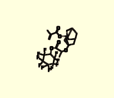 C=C(C)C(=O)OC12CC3CC(C1)CC(OC(C)C(=O)OC1C(F)(F)C(F)(F)C(F)(F)C(F)(F)C1(F)F)(C3)C2